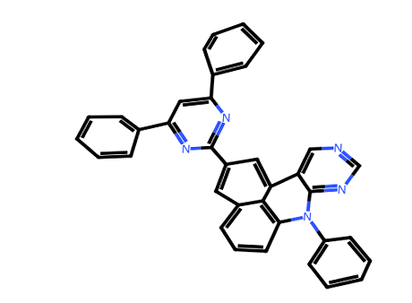 c1ccc(-c2cc(-c3ccccc3)nc(-c3cc4c5c(cccc5c3)N(c3ccccc3)c3ncncc3-4)n2)cc1